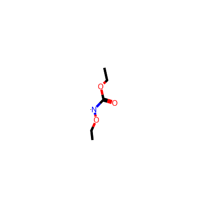 CCO[N]C(=O)OCC